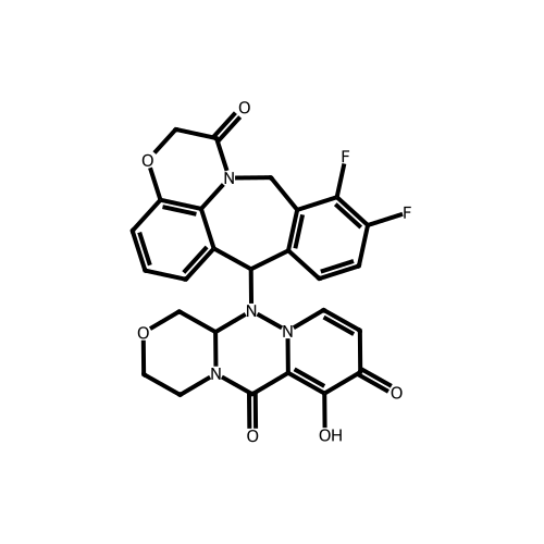 O=C1COc2cccc3c2N1Cc1c(ccc(F)c1F)C3N1C2COCCN2C(=O)c2c(O)c(=O)ccn21